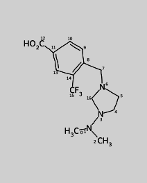 CN(C)N1CCN(Cc2ccc(C(=O)O)cc2C(F)(F)F)C1